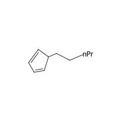 CCCCCC1C=CC=C1